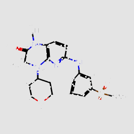 CNS(=O)(=O)c1cccc(Nc2ccc3c(n2)N(C2CCOCC2)[C@H](C)C(=O)N3C)c1